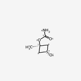 C[C@]1(OC(N)=O)C[S@@+]([O-])C1